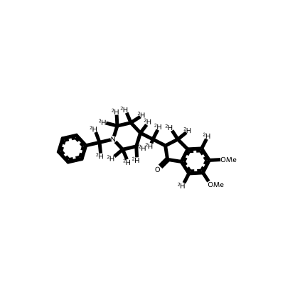 [2H]c1c(OC)c(OC)c([2H])c2c1C(=O)C(C([2H])([2H])C1([2H])C([2H])([2H])C([2H])([2H])N(C([2H])([2H])c3ccccc3)C([2H])([2H])C1([2H])[2H])C2([2H])[2H]